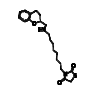 O=C1CSC(=O)N1CCCCCCCCNCC1CCc2ccccc2O1